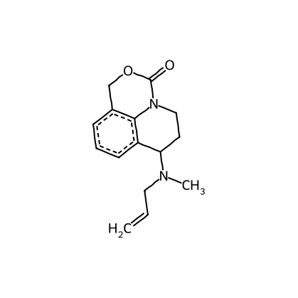 C=CCN(C)C1CCN2C(=O)OCc3cccc1c32